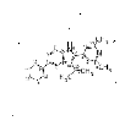 Cc1cc(-c2[nH]c3ccc(C4CCCCC4)cc3c2C(C)C)cc(C)n1